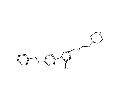 CCn1cc(COCCN2CCOCC2)cc1-c1ccc(OCc2ccccc2)cc1